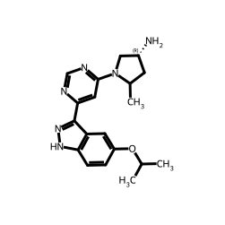 CC(C)Oc1ccc2[nH]nc(-c3cc(N4C[C@H](N)CC4C)ncn3)c2c1